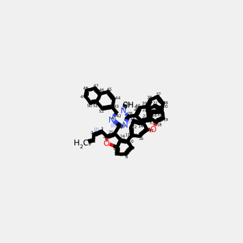 C=C/C=C\c1oc2cccc(-c3ccc4c(c3)oc3ccccc34)c2c1C(/N=C(\N=C)c1ccc2ccccc2c1)=N/Cc1ccc2ccccc2c1